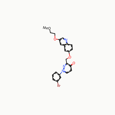 COCCOc1cnc2ccc(OCc3nn(-c4cccc(Br)c4)ccc3=O)cc2c1